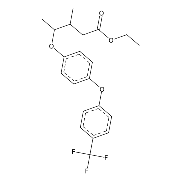 CCOC(=O)CC(C)C(C)Oc1ccc(Oc2ccc(C(F)(F)F)cc2)cc1